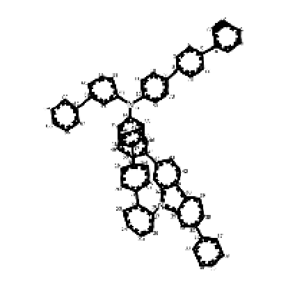 c1cccc(-c2ccc(-c3ccc(N(c4ccc(-c5ccc(-c6ccccc6-n6c7cc(-c8ccccc8)ccc7c7ccc(-c8ccccc8)cc76)cc5)cc4)c4cccc(-c5ccccc5)c4)cc3)cc2)c#1